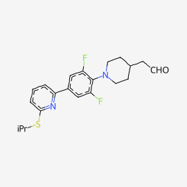 CC(C)Sc1cccc(-c2cc(F)c(N3CCC(CC=O)CC3)c(F)c2)n1